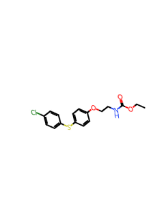 CCOC(=O)NCCOc1ccc(Sc2ccc(Cl)cc2)cc1